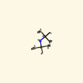 CCCC(C)([N]C(C)(CCC)C(C)C)C(C)C